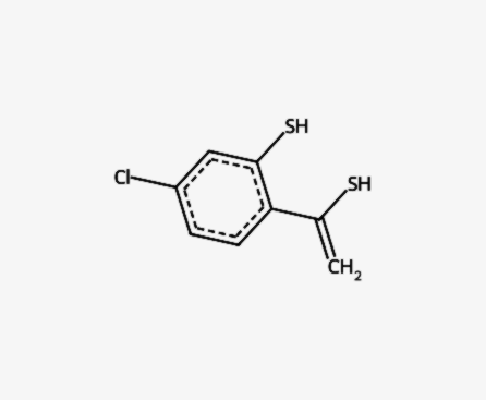 C=C(S)c1ccc(Cl)cc1S